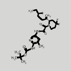 C=C(/C=C\C(F)=C/C)[C@@H]1CC(F)(F)CCN1C(=O)C(=O)Nc1cnc(NC(=O)OC(C)(C)C)c(C)c1